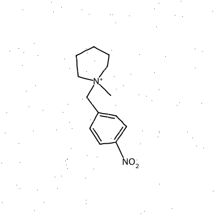 C[N+]1(Cc2ccc([N+](=O)[O-])cc2)CCCCC1